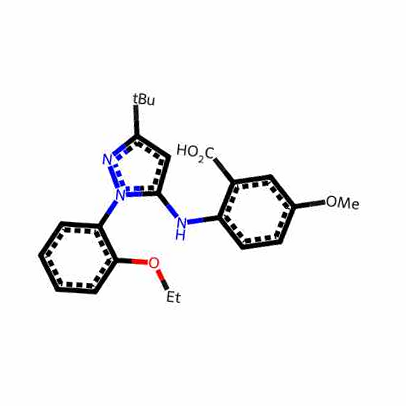 CCOc1ccccc1-n1nc(C(C)(C)C)cc1Nc1ccc(OC)cc1C(=O)O